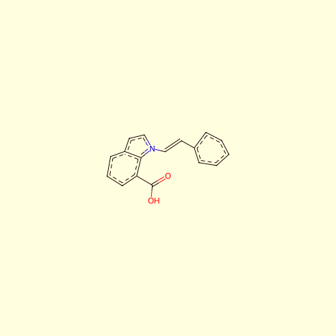 O=C(O)c1cccc2ccn(/C=C/c3ccccc3)c12